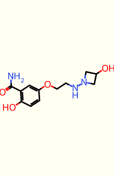 NC(=O)c1cc(OCCNN2CC(O)C2)ccc1O